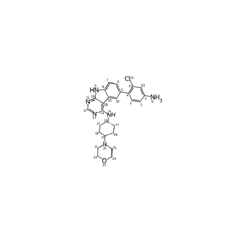 Nc1ccc(-c2ccc3[nH]c4ncnc(NC5CCC(N6CCOCC6)CC5)c4c3c2)c(Cl)c1